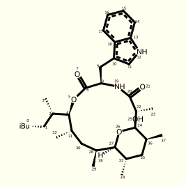 CC[C@@H](C)C[C@H](C)[C@H]1OC(=O)[C@@H](Cc2c[nH]c3ccccc23)NC(=O)[C@H](C)[C@]2(O)O[C@H]([C@@H](C)C[C@@H]1C)[C@@H](C)C[C@@H]2C